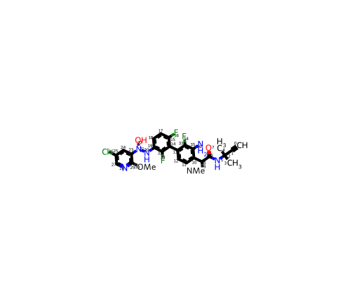 C#CC(C)(C)NC(=O)C(NC)c1ccc(-c2c(F)ccc(NN(O)c3cc(Cl)cnc3OC)c2F)c(F)c1N